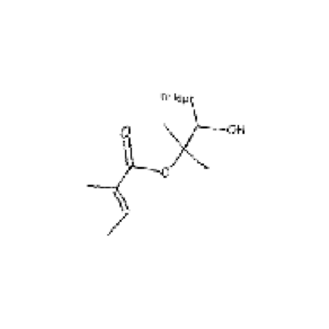 CC=C(C)C(=O)OC(C)(C)C(O)CCCCCCC